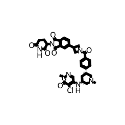 CN1C[C@H](Nc2cnn(C)c(=O)c2Cl)C[C@H](c2ccc(C(=O)N3CC(c4ccc5c(c4)C(=O)N(C4CCC(=O)NC4=O)C5=O)C3)cc2)C1